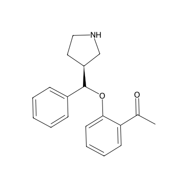 CC(=O)c1ccccc1OC(c1ccccc1)[C@H]1CCNC1